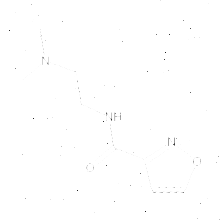 CN(C)CCNC(=O)c1ccon1